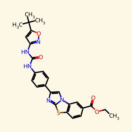 CCOC(=O)c1ccc2sc3nc(-c4ccc(NC(=O)Nc5cc(C(C)(C)C)on5)cc4)cn3c2c1